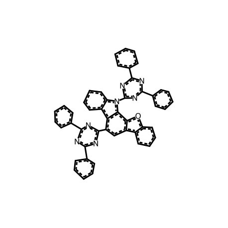 c1ccc(-c2nc(-c3ccccc3)nc(-c3cc4c5ccccc5oc4c4c3c3ccccc3n4-c3nc(-c4ccccc4)nc(-c4ccccc4)n3)n2)cc1